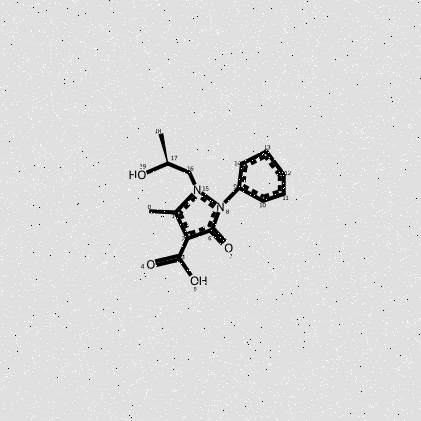 Cc1c(C(=O)O)c(=O)n(-c2ccccc2)n1C[C@H](C)O